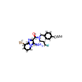 COc1ccc(CN(CCCF)C(=O)c2nc3c(Br)cccn3c2N)cc1